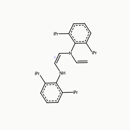 C=CN(/C=C\Nc1c(C(C)C)cccc1C(C)C)c1c(C(C)C)cccc1C(C)C